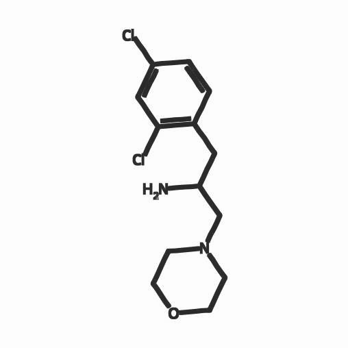 NC(Cc1ccc(Cl)cc1Cl)CN1CCOCC1